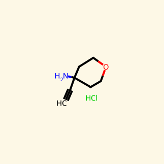 C#CC1(N)CCOCC1.Cl